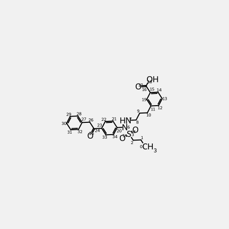 CCCS(=O)(=O)N(NCCCc1cccc(C(=O)O)c1)c1ccc(C(=O)Cc2ccccc2)cc1